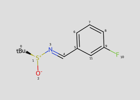 CC(C)(C)[S@+]([O-])/N=C/c1cccc(F)c1